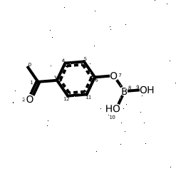 CC(=O)c1ccc(OB(O)O)cc1